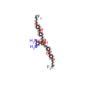 Nc1cc(N)cc(C(CC(=O)C=Cc2ccc(OC(=O)c3ccc(OCCCCC(F)(F)F)cc3)cc2)C(O)(O)C(=O)C=Cc2ccc(OC(=O)c3ccc(OCCCCC(F)(F)F)cc3)cc2)c1